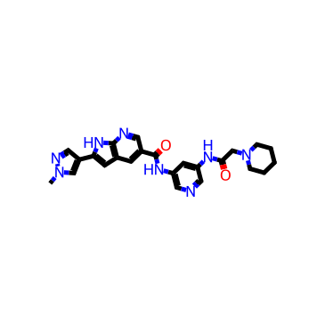 Cn1cc(-c2cc3cc(C(=O)Nc4cncc(NC(=O)CN5CCCCC5)c4)cnc3[nH]2)cn1